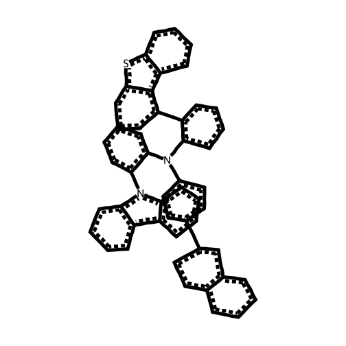 c1ccc(N(c2ccc(-c3ccc4ccccc4c3)cc2)c2ccccc2-n2c3ccccc3c3ccccc32)c(-c2cccc3sc4ccccc4c23)c1